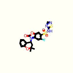 CC1(C)CC(n2c(=O)oc3cc(S(=O)(=O)Nc4ncns4)c(F)cc32)c2ccccc2O1